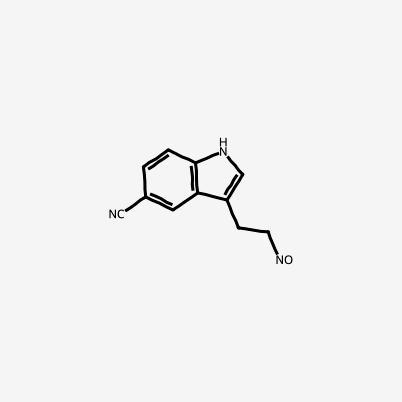 N#Cc1ccc2[nH]cc(CCN=O)c2c1